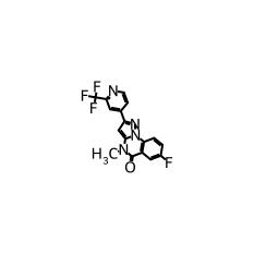 Cn1c(=O)c2cc(F)ccc2n2nc(-c3ccnc(C(F)(F)F)c3)cc12